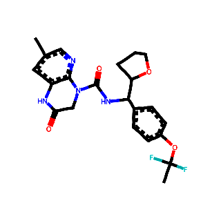 Cc1cnc2c(c1)NC(=O)CN2C(=O)NC(c1ccc(OC(C)(F)F)cc1)C1CCCO1